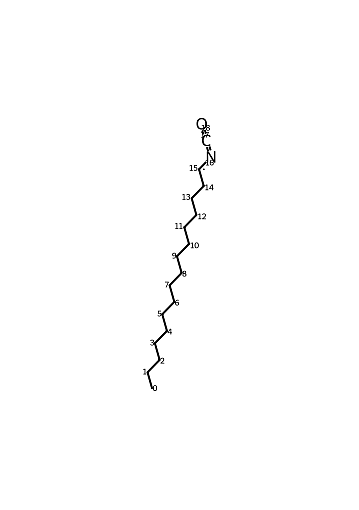 CCCCCCCCCCCCCCC[CH]N=C=O